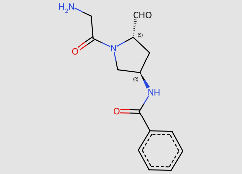 NCC(=O)N1C[C@H](NC(=O)c2ccccc2)C[C@H]1C=O